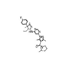 CCC1C(Nc2cc(-n3nc(C)c(C(=O)N4CCCC4C)c3C)ncn2)=NN(C)C1(C)c1ccc(F)cc1